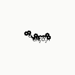 C=C(CCOc1cccc2ccccc12)c1cccc2c(CCCOc3cccc4ccccc34)c(C(=O)O)[nH]c12